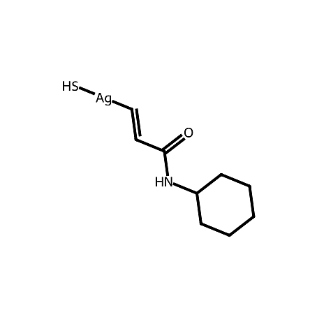 O=C(C=[CH][Ag][SH])NC1CCCCC1